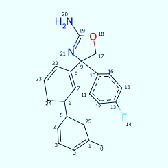 CC1=CC=CC(C2C=C(C3(c4ccc(F)cc4)COC(N)=N3)C=CC2)C1